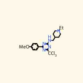 CCN1CCC(CNc2nc(-c3ccc(OC)cc3)nc(C(Cl)(Cl)Cl)n2)CC1